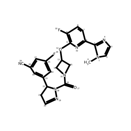 Cn1ccnc1-c1ccc(F)c(OC2CN(C(=O)N3N=CCC3c3cc(F)cc(C#N)c3)C2)n1